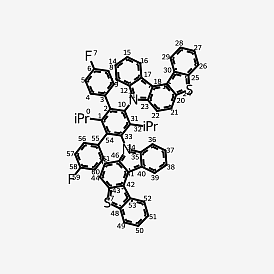 CC(C)c1c(-c2ccc(F)cc2)c(-n2c3ccccc3c3c4c(ccc32)sc2ccccc24)c(C(C)C)c(-n2c3ccccc3c3c4c(ccc32)sc2ccccc24)c1-c1ccc(F)cc1